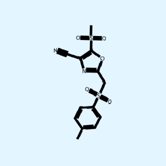 Cc1ccc(S(=O)(=O)Cc2nc(C#N)c(S(C)(=O)=O)o2)cc1